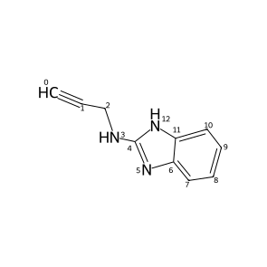 C#CCNc1nc2ccccc2[nH]1